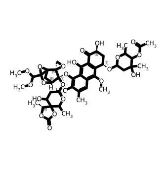 COc1c2c(c(O)c3c(O[C@]4(OC5CC(O)C6(OC(=O)O[C@@H]6C)C(C)O5)[C@@H]5CC6(OC6(C(OC)OC)O5)[C@]45CO5)c(C)c(C)cc13)C(=O)[C@@H](O)C[C@@H]2OC1CC(C)(O)C(OC(C)=O)C(C)O1